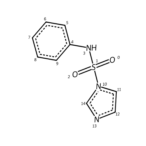 O=S(=O)(Nc1ccccc1)n1ccnc1